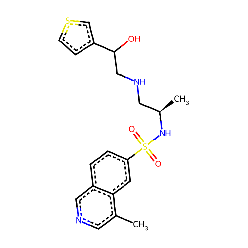 Cc1cncc2ccc(S(=O)(=O)N[C@H](C)CNCC(O)c3ccsc3)cc12